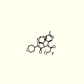 Cc1ccc(N(C(=O)[C@H](F)Cl)[C@@](C)(C(=O)NC2CCOCC2)c2cncnc2)cn1